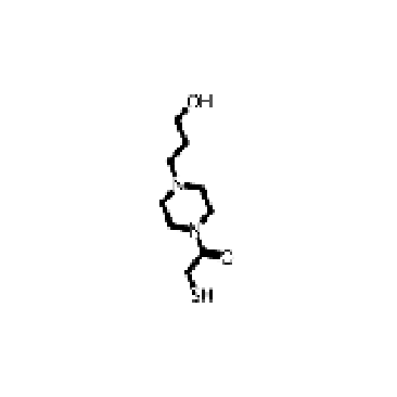 O=C(CS)N1CCN(CCCO)CC1